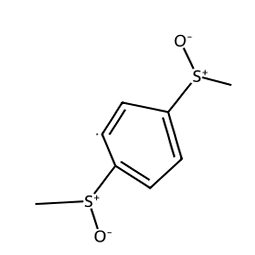 C[S+]([O-])c1[c]cc([S+](C)[O-])cc1